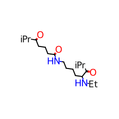 CCNC(CCCCNC(=O)CCCC(=O)C(C)C)C(=O)C(C)C